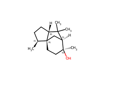 C[C@H]1CC[C@@H]2C(C)(C)[C@@H]3C[C@@]21CC[C@]3(C)O